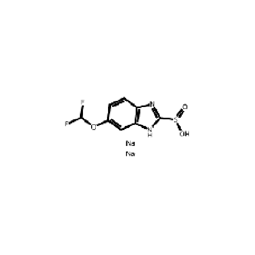 O=S(O)c1nc2ccc(OC(F)F)cc2[nH]1.[Na].[Na]